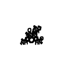 C=C(NC)c1ccc2c(c1)CCc1cc(C(=O)NC)ccc1C2(CCNCC(=C)N1CCCC1C#N)c1nn(C)c(=O)[nH]1